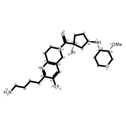 CO[C@@H]1COCC[C@@H]1N[C@@H]1CC[C@@](C(=O)N2CCc3nc(CCCCN)c(C(F)(F)F)cc3C2)(C(C)C)C1